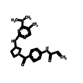 C=CC(=O)Nc1ccc(C(=O)N2CCC(Nc3ncc(C(F)(F)F)c(N(C)C)n3)C2)cc1